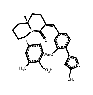 COc1cc(C=C2CC[C@H]3CCC[C@@H](c4ccc(C(=O)O)c(C)c4)N3C2=O)ccc1-n1cnc(C)c1